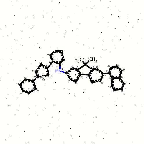 CC1(C)c2cc(Nc3ccccc3-c3ccc(-c4ccccc4)cc3)ccc2-c2ccc(-c3cccc4ccccc34)cc21